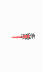 CCCCCCCCCCCCCCCCCCc1cc2nc3ccc(O[C@@H]4O[C@H](CO)[C@H](O)[C@H](O)[C@H]4O)cc3oc-2cc1=O